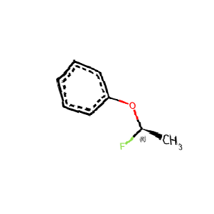 C[C@@H](F)Oc1ccccc1